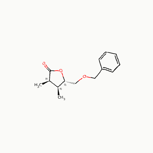 C[C@@H]1[C@@H](COCc2ccccc2)OC(=O)[C@@H]1C